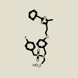 Cc1oc(-c2ccccc2)nc1CCOc1cccc(CN(CC(=O)O)S(=O)(=O)Cc2ccc(F)cc2)c1